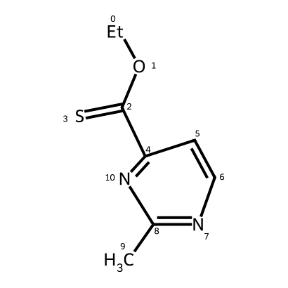 CCOC(=S)c1ccnc(C)n1